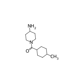 CC1CCC(C(=O)N2CCC(N)CC2)CC1